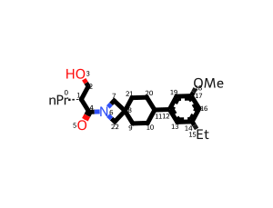 CCC[C@H](CO)C(=O)N1CC2(CCC(c3cc(CC)cc(OC)c3)CC2)C1